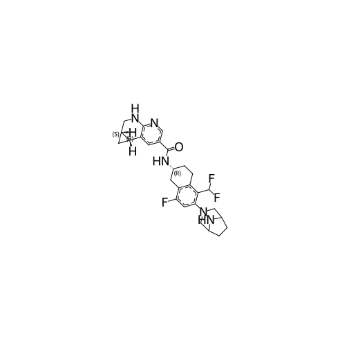 O=C(N[C@@H]1CCc2c(c(F)cc(N3CC4CCC(C3)N4)c2C(F)F)C1)c1cnc2c(c1)[C@@H]1C[C@@H]1CN2